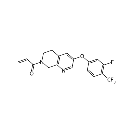 C=CC(=O)N1CCc2cc(Oc3ccc(C(F)(F)F)c(F)c3)cnc2C1